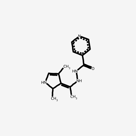 CC1=CNC(C)C1=C(C)NNC(=O)c1ccncc1